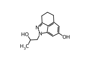 CC(O)Cn1nc2c3c(cc(O)cc31)CCC2